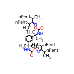 CCCCCC(C)C(=NOC(=O)NC(C)(C)c1cccc(C(C)(C)NC(=O)ON=C(C(C)CCCCC)C(C)CCCCC)c1)C(C)CCCCC